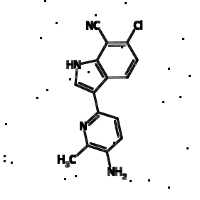 Cc1nc(-c2c[nH]c3c(C#N)c(Cl)ccc23)ccc1N